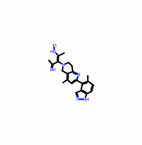 CCN/C(C)=C(\C(C)=N)N1CCc2nc(-c3c(C)ccc4[nH]ncc34)cc(C)c2C1